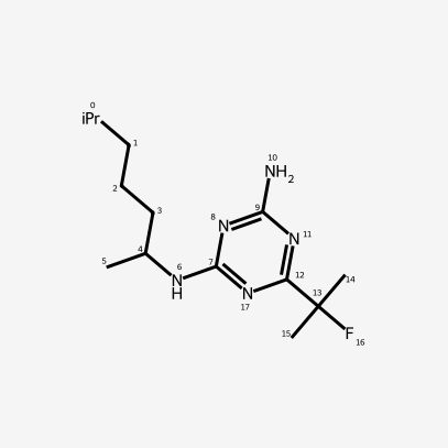 CC(C)CCCC(C)Nc1nc(N)nc(C(C)(C)F)n1